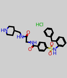 Cl.O=C(CNC(=O)c1ccc(S(=O)(=O)Nc2ccccc2Cc2ccccc2)cc1)NCC1CCNCC1